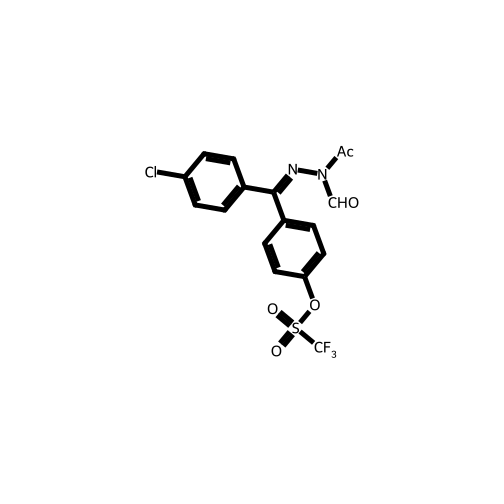 CC(=O)N(C=O)N=C(c1ccc(Cl)cc1)c1ccc(OS(=O)(=O)C(F)(F)F)cc1